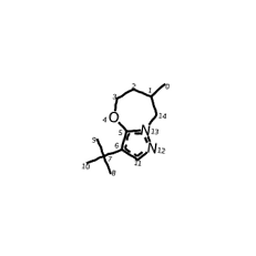 CC1CCOc2c(C(C)(C)C)cnn2C1